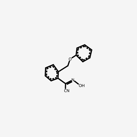 N#CC(=NO)c1ccccc1COc1ccccc1